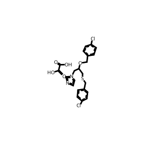 Clc1ccc(COC(CSCc2ccc(Cl)cc2)Cn2ccnc2)cc1.O=C(O)C(=O)O